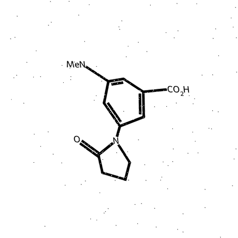 CNc1cc(C(=O)O)cc(N2CCCC2=O)c1